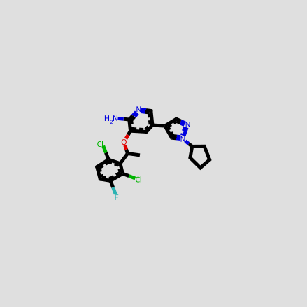 CC(Oc1cc(-c2cnn(C3CCCC3)c2)cnc1N)c1c(Cl)ccc(F)c1Cl